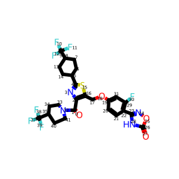 O=C(c1nc(C2CCC(C(F)(F)F)CC2)sc1COc1ccc(-c2noc(=O)[nH]2)c(F)c1)N1CCC(C(F)(F)F)CC1